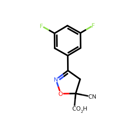 N#CC1(C(=O)O)CC(c2cc(F)cc(F)c2)=NO1